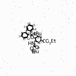 CCOC(=O)[C@@H]1CC[C@H](O[Si](c2ccccc2)(c2ccccc2)C(C)(C)C)[C@@H](NC(=O)OC(C)(C)C)C1